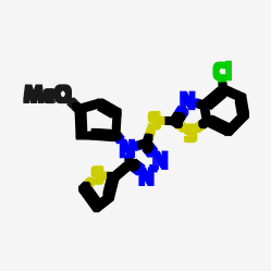 COc1ccc(-n2c(Sc3nc4c(Cl)cccc4s3)nnc2-c2cccs2)cc1